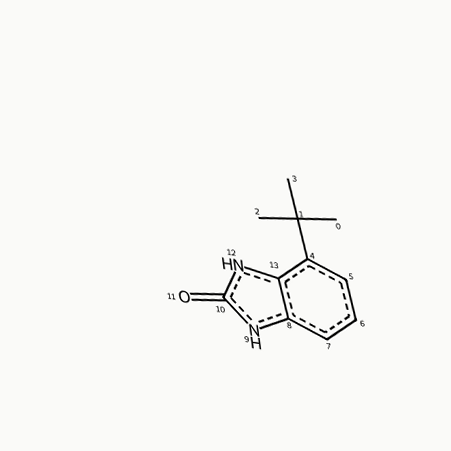 CC(C)(C)c1cccc2[nH]c(=O)[nH]c12